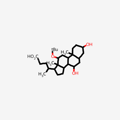 CC(CCC(=O)O)C1CCC2C3C(O)CC4CC(O)CCC4(C)C3CC(OC(C)(C)C)C12C